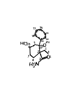 CCC1(C(N)=O)CCCCC1(OC)c1ccccc1.Cl